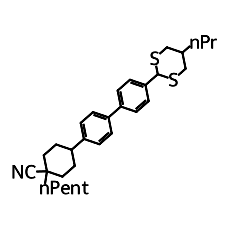 CCCCCC1(C#N)CCC(c2ccc(-c3ccc(C4SCC(CCC)CS4)cc3)cc2)CC1